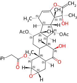 C=C1OC2=C[C@@H](C)[C@H]3[C@@H]([C@H](OC(C)=O)[C@H]4[C@H]5C(C[C@H](OC(C)=O)[C@]34C)[C@]3(C)[C@H](C[C@@H]4O[C@@H]4[C@@H]3OC(=O)CC(C)C)C(=O)[C@@H]5O)[C@@]2(C)[C@]1(C)O